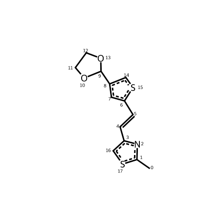 Cc1nc(C=Cc2cc(C3OCCO3)cs2)cs1